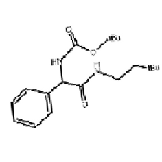 CC(C)(C)CCNC(=O)C(NC(=O)OC(C)(C)C)c1ccccc1